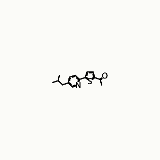 CC(=O)c1ccc(-c2ccc(CC(C)C)cn2)s1